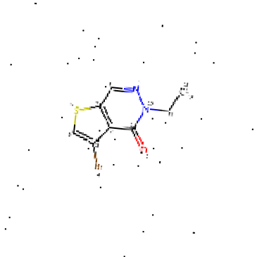 O=c1c2c(Br)csc2cnn1CC(F)(F)F